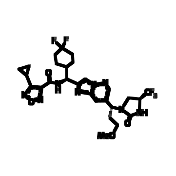 COCC[C@H](c1cnn2cc([C@@H](NC(=O)c3nonc3C3CC3)C3CCC(F)(F)CC3)nc2c1)N1C[C@@H](C(F)(F)F)NC1=O